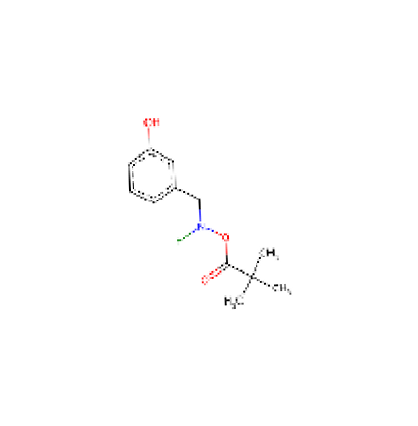 CC(C)(C)C(=O)ON(F)Cc1cccc(O)c1